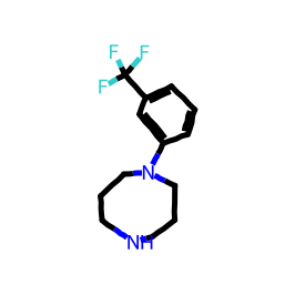 FC(F)(F)c1cccc(N2CCCNCCC2)c1